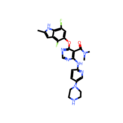 Cc1cc2c(F)c(Oc3ncnc(Nc4ccc(N5CCNCC5)cn4)c3C(=O)N(C)C)cc(F)c2[nH]1